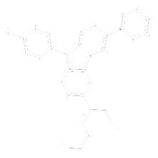 C=C/C(=C\C=C/C)c1ccc2c(c1)c1cc(-c3ccccc3)ccc1n2-c1ccc(Br)cc1